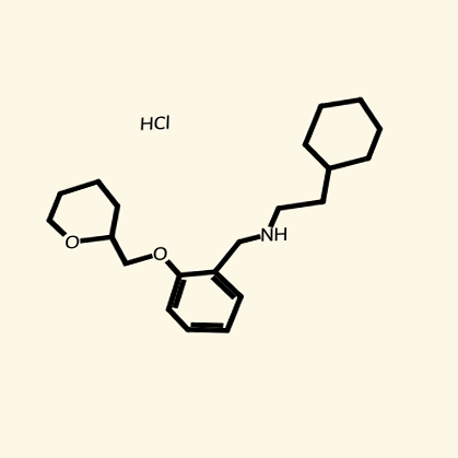 Cl.c1ccc(OCC2CCCCO2)c(CNCCC2CCCCC2)c1